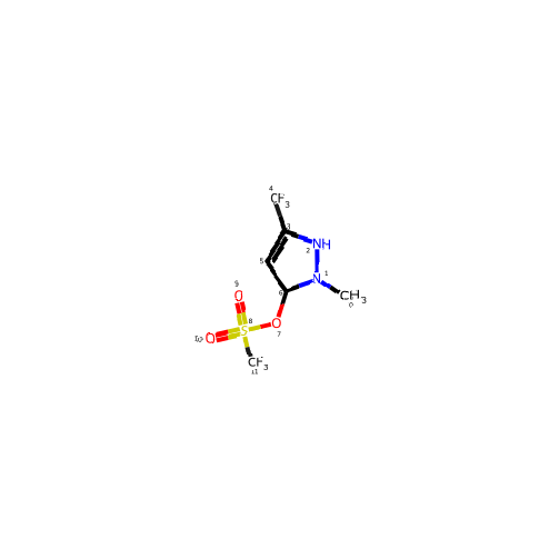 CN1NC(C(F)(F)F)=CC1OS(=O)(=O)C(F)(F)F